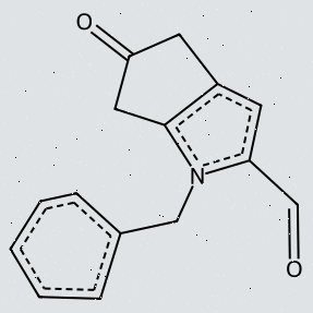 O=Cc1cc2c(n1Cc1ccccc1)CC(=O)C2